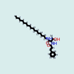 CCCCCCCCCCCCCCCCCCNC(=O)[C@@H](NC(=O)/C=C/c1ccccc1)[C@@H](C)O